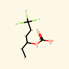 CCC(CCC(F)(F)F)OC(=O)O